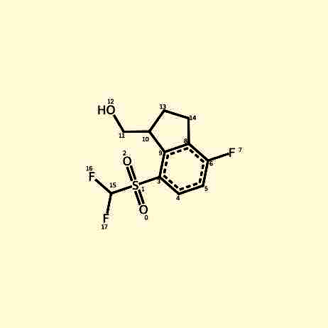 O=S(=O)(c1ccc(F)c2c1C(CO)CC2)C(F)F